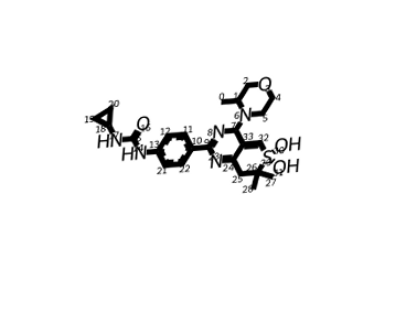 CC1COCCN1C1N=C(c2ccc(NC(=O)NC3CC3)cc2)N=C2CC(C)(C)S(O)(O)C=C21